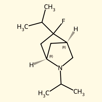 CC(C)N1C[C@H]2C[C@@H]1CC2(F)C(C)C